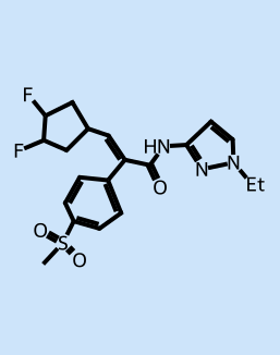 CCn1ccc(NC(=O)/C(=C/C2CC(F)C(F)C2)c2ccc(S(C)(=O)=O)cc2)n1